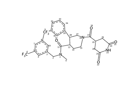 CN(Cc1cc(C(F)(F)F)cc(C(F)(F)F)c1)C(=O)C1CCN(C(=O)C2CC(=O)NC(=O)C2)CC1c1ccccc1